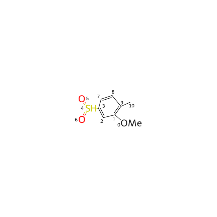 COc1cc([SH](=O)=O)ccc1C